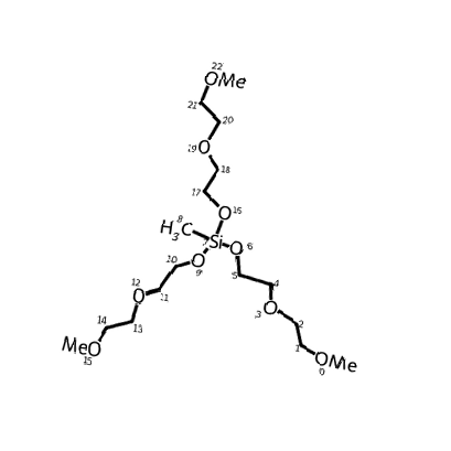 COCCOCCO[Si](C)(OCCOCCOC)OCCOCCOC